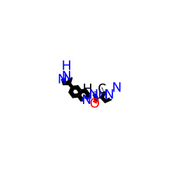 C[C@H]1[C@@H](C(=O)Nc2cc3cc(-c4cn[nH]c4)ccc3cn2)CCN1C#N